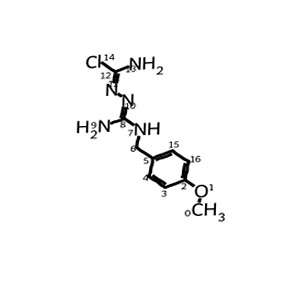 COc1ccc(CN/C(N)=N/N=C(\N)Cl)cc1